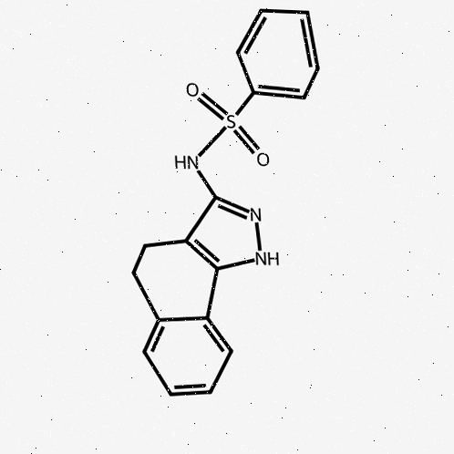 O=S(=O)(Nc1n[nH]c2c1CCc1ccccc1-2)c1ccccc1